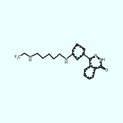 O=c1[nH]nc(-c2cccc(NCCCCCNCC(F)(F)F)c2)c2ccccc12